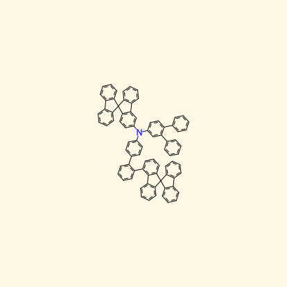 c1ccc(-c2ccc(N(c3ccc(-c4ccccc4-c4cccc5c4-c4ccccc4C54c5ccccc5-c5ccccc54)cc3)c3ccc4c(c3)-c3ccccc3C43c4ccccc4-c4ccccc43)cc2-c2ccccc2)cc1